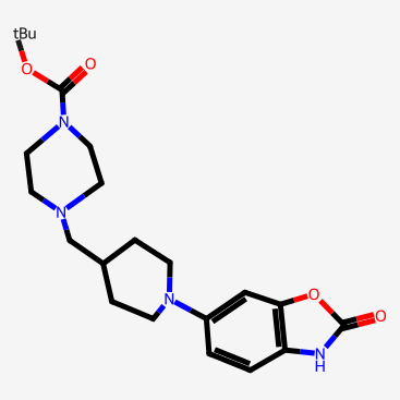 CC(C)(C)OC(=O)N1CCN(CC2CCN(c3ccc4[nH]c(=O)oc4c3)CC2)CC1